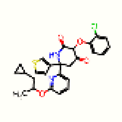 CC(CC1CC1)Oc1cccc(C2(c3ccsc3)CC(=O)C(Oc3ccccc3Cl)C(=O)N2)n1